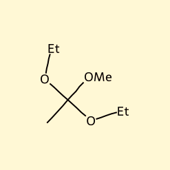 CCOC(C)(OC)OCC